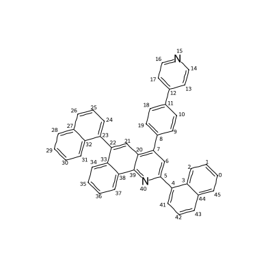 c1ccc2c(-c3cc(-c4ccc(-c5ccncc5)cc4)c4cc(-c5cccc6ccccc56)c5ccccc5c4n3)cccc2c1